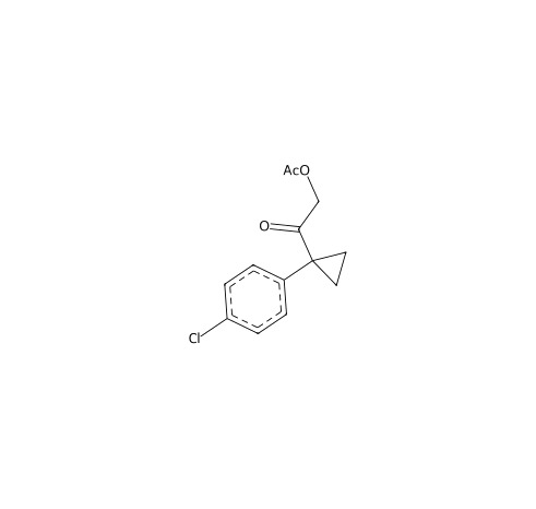 CC(=O)OCC(=O)C1(c2ccc(Cl)cc2)CC1